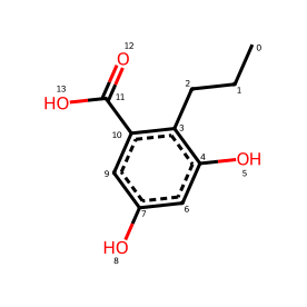 CCCc1c(O)cc(O)cc1C(=O)O